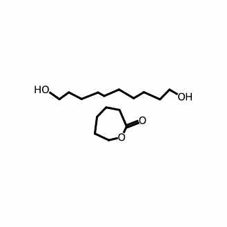 O=C1CCCCCO1.OCCCCCCCCCCO